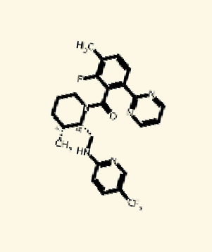 Cc1ccc(-c2ncccn2)c(C(=O)N2CCC[C@@H](C)[C@H]2CNc2ccc(C(F)(F)F)cn2)c1F